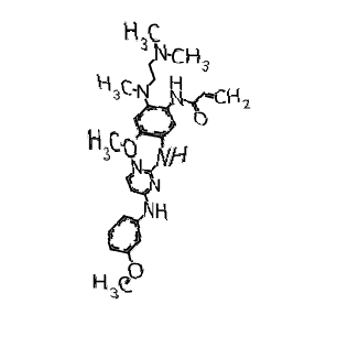 C=CC(=O)Nc1cc(Nc2nccc(Nc3cccc(OC)c3)n2)c(OC)cc1N(C)CCN(C)C